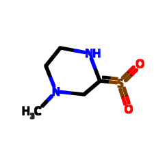 CN1CCNC(=S(=O)=O)C1